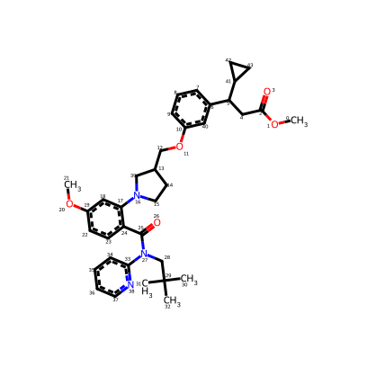 COC(=O)CC(c1cccc(OCC2CCN(c3cc(OC)ccc3C(=O)N(CC(C)(C)C)c3ccccn3)C2)c1)C1CC1